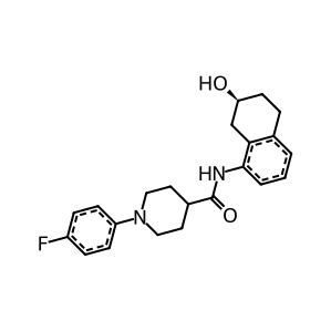 O=C(Nc1cccc2c1C[C@@H](O)CC2)C1CCN(c2ccc(F)cc2)CC1